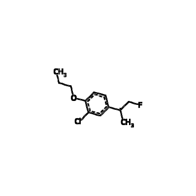 CCCOc1ccc([C](C)CF)cc1Cl